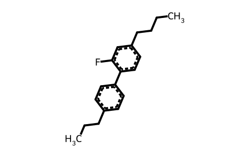 CCCCc1ccc(-c2ccc(CCC)cc2)c(F)c1